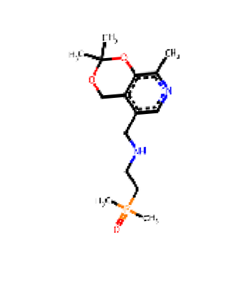 Cc1ncc(CNCCP(C)(C)=O)c2c1OC(C)(C)OC2